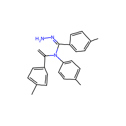 C=C(c1ccc(C)cc1)N(/C(=N\N)c1ccc(C)cc1)c1ccc(C)cc1